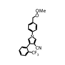 COOCc1ccc(-n2cc(C#N)c(-c3ccccc3C(F)(F)F)c2)cc1